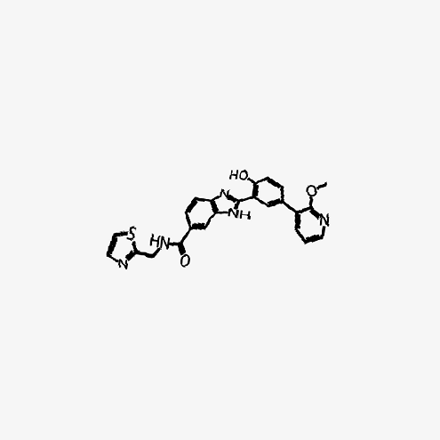 COc1ncccc1-c1ccc(O)c(-c2nc3ccc(C(=O)NCc4nccs4)cc3[nH]2)c1